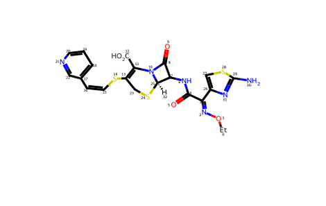 CCO/N=C(/C(=O)NC1C(=O)N2C(C(=O)O)=C(S/C=C\c3cccnc3)CS[C@H]12)c1csc(N)n1